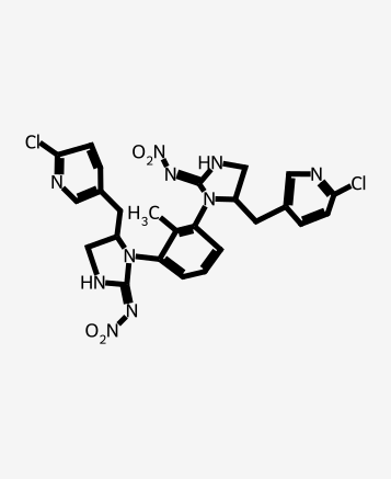 Cc1c(N2C(=N[N+](=O)[O-])NCC2Cc2ccc(Cl)nc2)cccc1N1C(=N[N+](=O)[O-])NCC1Cc1ccc(Cl)nc1